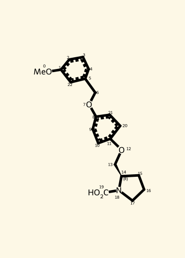 COc1cccc(COc2ccc(OC[C@H]3CCCN3C(=O)O)cc2)c1